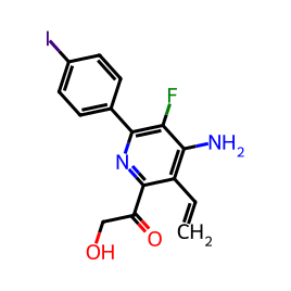 C=Cc1c(C(=O)CO)nc(-c2ccc(I)cc2)c(F)c1N